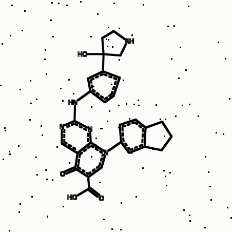 O=C(O)c1cn(-c2ccc3c(c2)CCC3)c2nc(Nc3cccc(C4(O)CCNC4)c3)ncc2c1=O